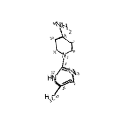 Cc1cnc(N2CCC(N)CC2)[nH]1